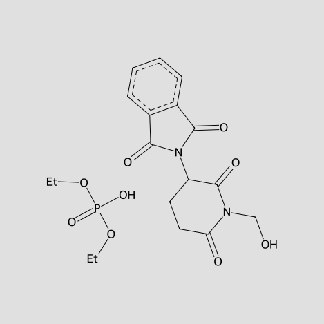 CCOP(=O)(O)OCC.O=C1CCC(N2C(=O)c3ccccc3C2=O)C(=O)N1CO